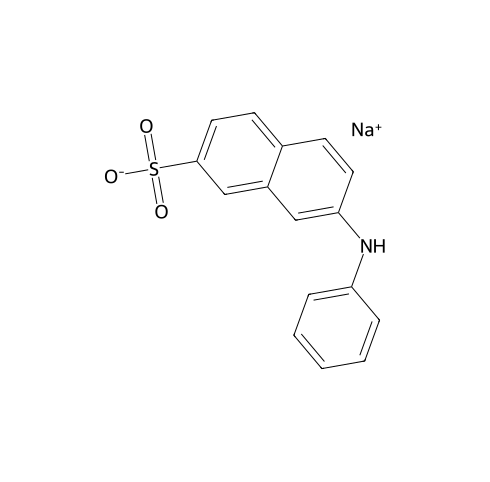 O=S(=O)([O-])c1ccc2ccc(Nc3ccccc3)cc2c1.[Na+]